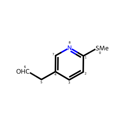 CSc1ccc(CC=O)cn1